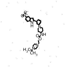 CC(C)N1CCN(CCOC(=O)NC2CCN(c3cccc(-c4cc5cc([N+](=O)[O-])ccc5[nH]4)c3)CC2)CC1